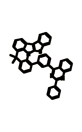 CC1(C)c2cccc(-c3cccc(-c4nc(-c5ccccc5)nc5ccccc45)c3)c2-n2c3sc4ccccc4c3c3cccc1c32